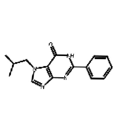 CC(C)Cn1cnc2nc(-c3ccccc3)[nH]c(=O)c21